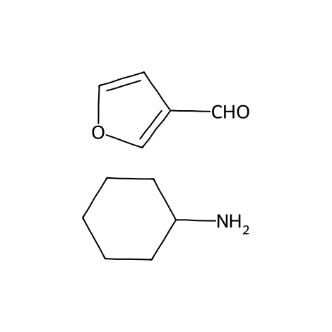 NC1CCCCC1.O=Cc1ccoc1